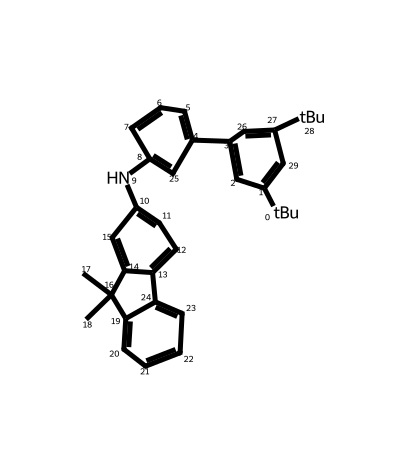 CC(C)(C)c1cc(-c2cccc(Nc3ccc4c(c3)C(C)(C)c3ccccc3-4)c2)cc(C(C)(C)C)c1